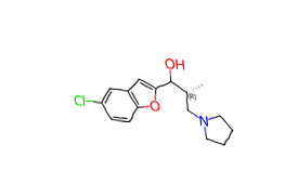 C[C@H](CN1CCCC1)C(O)c1cc2cc(Cl)ccc2o1